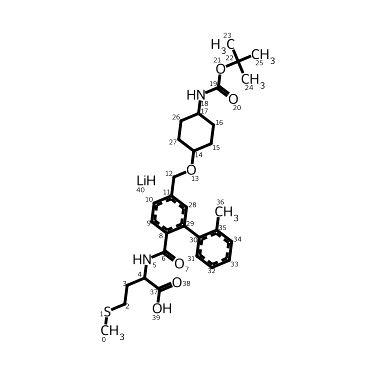 CSCCC(NC(=O)c1ccc(COC2CCC(NC(=O)OC(C)(C)C)CC2)cc1-c1ccccc1C)C(=O)O.[LiH]